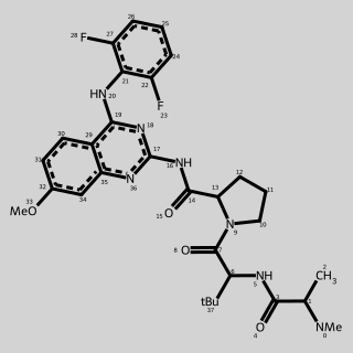 CNC(C)C(=O)NC(C(=O)N1CCCC1C(=O)Nc1nc(Nc2c(F)cccc2F)c2ccc(OC)cc2n1)C(C)(C)C